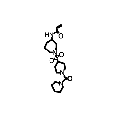 C=CC(=O)NC1CCCN(S(=O)(=O)C2CCN(C(=O)N3CCCCC3)CC2)CC1